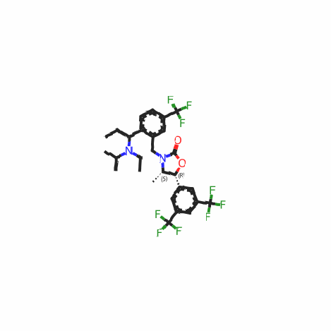 CCC(c1ccc(C(F)(F)F)cc1CN1C(=O)O[C@H](c2cc(C(F)(F)F)cc(C(F)(F)F)c2)[C@@H]1C)N(CC)C(C)C